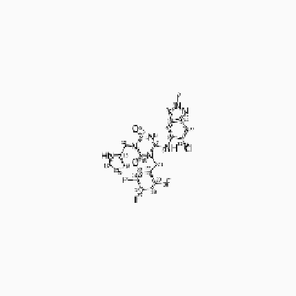 Cn1cc2cc(Nc3nc(=O)n(CC4=CSCN4)c(=O)n3Cc3cc(F)c(F)cc3F)c(Cl)cc2n1